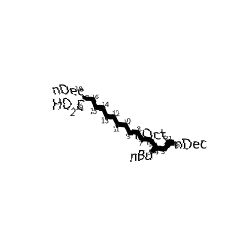 CCCCCCCCCCC(CCCCCCCC)CC(CCCC)CCCCCCCCCCCC(CCCCCCCCCC)C(=O)O